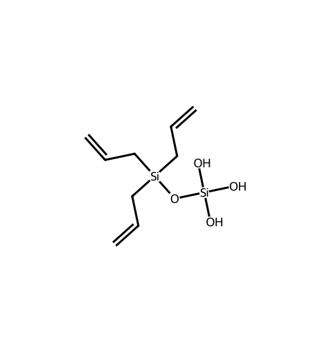 C=CC[Si](CC=C)(CC=C)O[Si](O)(O)O